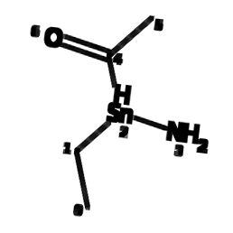 C[CH2][SnH]([NH2])[C](C)=O